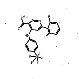 COC(=O)c1nnc(-c2c(F)cccc2F)cc1Nc1ccc(S(F)(F)(F)(F)F)cc1